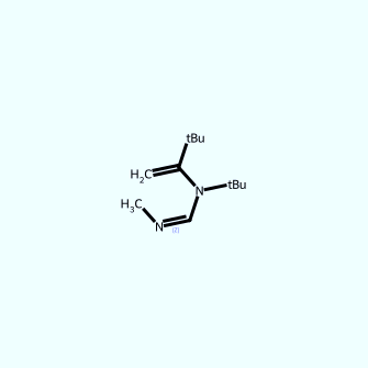 C=C(N(/C=N\C)C(C)(C)C)C(C)(C)C